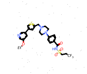 CCOc1cncc(-c2csc(CN3CCN(c4ccc(C(=O)NS(=O)(=O)CCC(F)(F)F)cc4)CC3)c2)c1